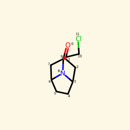 O=C1CC2CCC(C1)N2CCCl